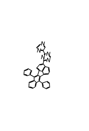 c1ccc(-c2c3c(c(-c4ccccc4)c4ccccc24)-c2ccc(-c4ncnc(-c5cnccn5)n4)c4cccc-3c24)cc1